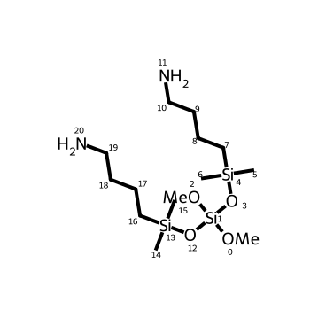 CO[Si](OC)(O[Si](C)(C)CCCCN)O[Si](C)(C)CCCCN